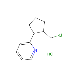 Cl.ClCC1CCCC1c1ccccn1